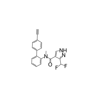 C#Cc1ccc(-c2ccccc2N(C)C(=O)c2c[nH]nc2C(F)F)cc1